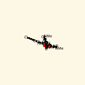 CNC(=O)C1CN(c2ccc3c(c2)Oc2cc(N4CC(C(=O)NC)C4)ccc2C32C(=N)C(=O)c3ccc(C(=O)NCCOCCOCCCCCCCl)cc32)C1